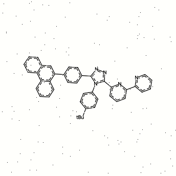 CC(C)(C)c1ccc(-n2c(-c3ccc(-c4cc5ccccc5c5ccccc45)cc3)nnc2-c2cccc(-c3ccccn3)n2)cc1